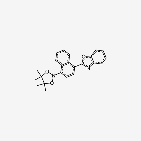 CC1(C)ON(c2ccc(-c3nc4ccccc4o3)c3ccccc23)OC1(C)C